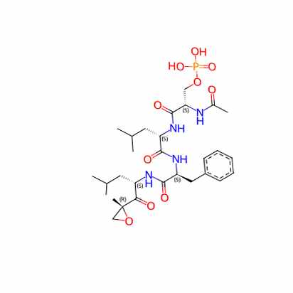 CC(=O)N[C@@H](COP(=O)(O)O)C(=O)N[C@@H](CC(C)C)C(=O)N[C@@H](Cc1ccccc1)C(=O)N[C@@H](CC(C)C)C(=O)[C@@]1(C)CO1